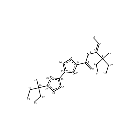 C=C(S/C(=C\C)C(C)(CC)CC)c1ccc(-c2ccc(C(C)(CC)CC)s2)s1